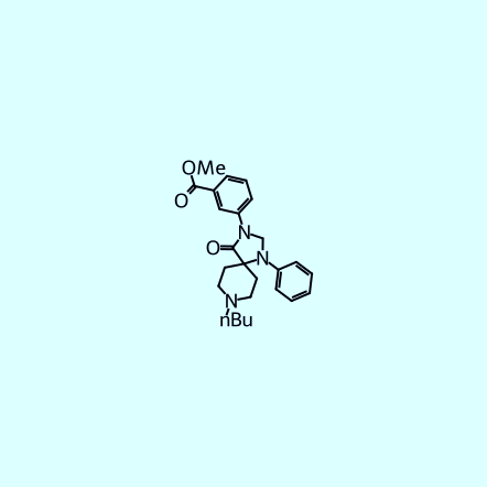 CCCCN1CCC2(CC1)C(=O)N(c1cccc(C(=O)OC)c1)CN2c1ccccc1